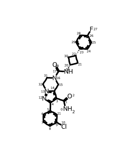 NC(=O)c1c(-c2cccc(Cl)c2)nn2c1CN(C(=O)N[C@H]1C[C@@H](c3ccc(F)cc3)C1)CC2